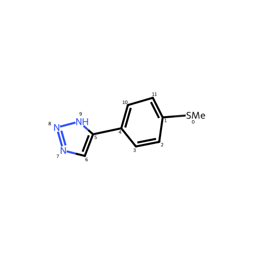 CSc1ccc(-c2cnn[nH]2)cc1